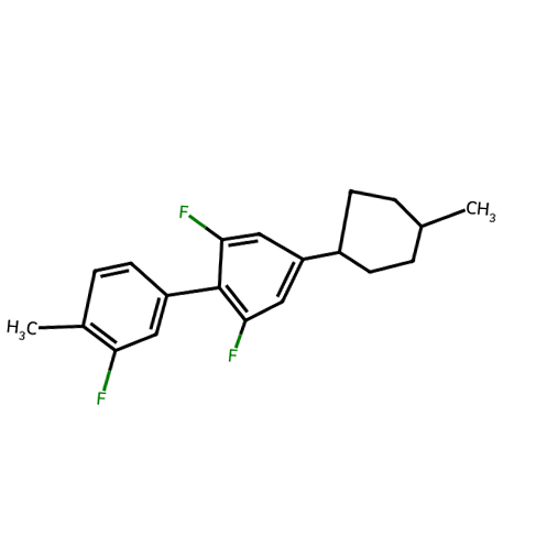 Cc1ccc(-c2c(F)cc(C3CCC(C)CC3)cc2F)cc1F